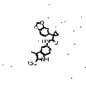 Cc1c(C(C)(C)C)[nH]c2ccc(NC(=O)C3(c4ccc5c(c4)OCO5)CC3)cc12